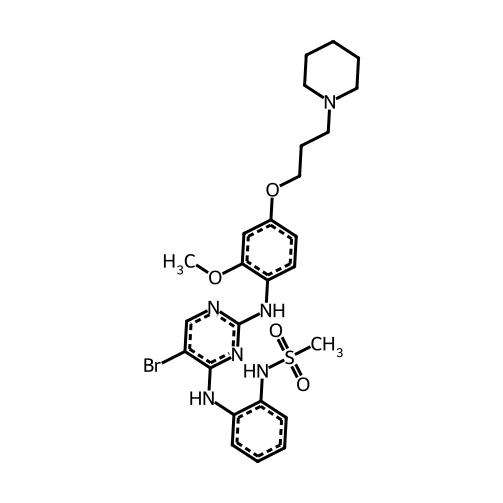 COc1cc(OCCCN2CCCCC2)ccc1Nc1ncc(Br)c(Nc2ccccc2NS(C)(=O)=O)n1